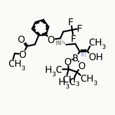 CCOC(=O)Cc1ccccc1O[C@@H](CC/C(B1OC(C)(C)C(C)(C)O1)=C(\C)O)CC(F)(F)F